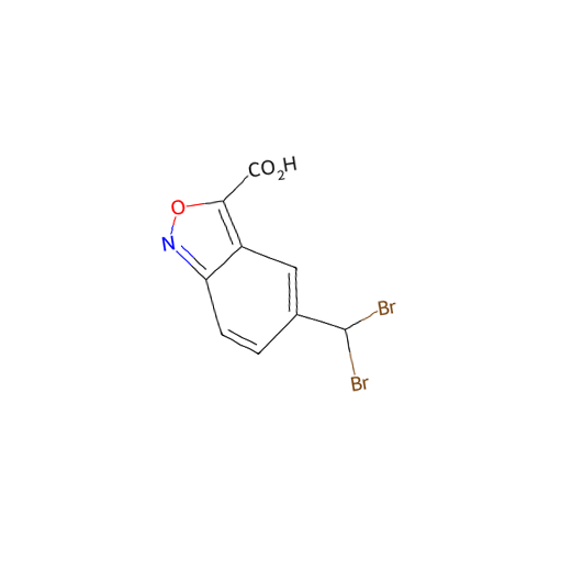 O=C(O)c1onc2ccc(C(Br)Br)cc12